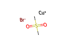 CS(C)(=O)=O.[Br-].[Cu+]